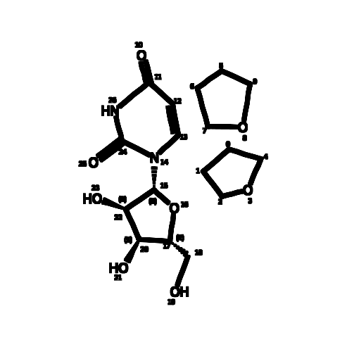 C1CCOC1.C1CCOC1.O=c1ccn([C@@H]2O[C@H](CO)[C@@H](O)[C@H]2O)c(=O)[nH]1